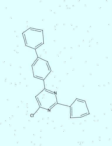 Clc1cc(-c2ccc(-c3ccccc3)cc2)nc(-c2ccccc2)n1